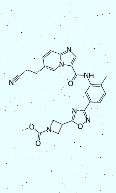 COC(=O)N1CC(c2nc(-c3ccc(C)c(NC(=O)c4cnc5ccc(CCC#N)cn45)c3)no2)C1